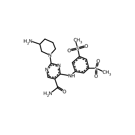 CS(=O)(=O)c1cc(Nc2nc(N3CCCC(N)C3)ncc2C(N)=O)cc(S(C)(=O)=O)c1